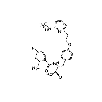 CNc1cccc(CCOc2ccc(C[C@H](NC(=O)c3ccc(F)cc3C)C(=O)O)cc2)n1